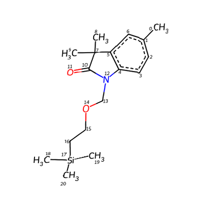 Cc1ccc2c(c1)C(C)(C)C(=O)N2COCC[Si](C)(C)C